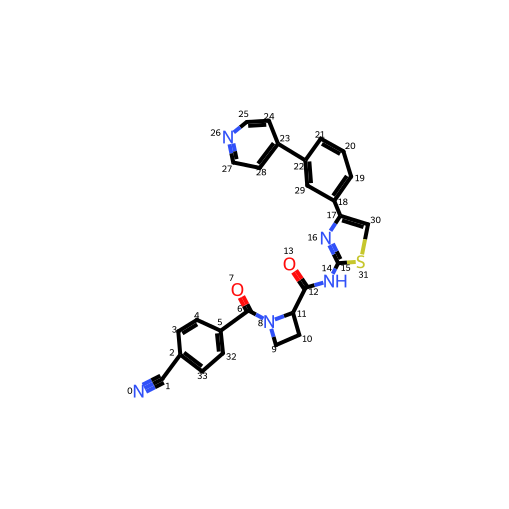 N#Cc1ccc(C(=O)N2CCC2C(=O)Nc2nc(-c3cccc(-c4ccncc4)c3)cs2)cc1